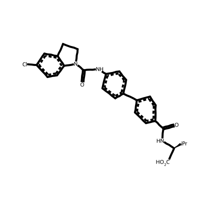 CC(C)[C@H](NC(=O)c1ccc(-c2ccc(NC(=O)N3CCc4cc(Cl)ccc43)cc2)cc1)C(=O)O